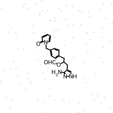 Nc1n[nH]cc1CC(Cc1ccc(Cn2ccccc2=O)cc1)OC=O